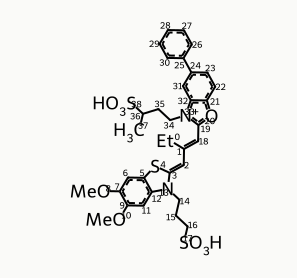 CCC(/C=C1\Sc2cc(OC)c(OC)cc2N1CCCS(=O)(=O)O)=C\c1oc2ccc(-c3ccccc3)cc2[n+]1CCC(C)S(=O)(=O)O